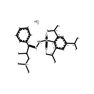 CC(CN(C)C)C(=NNS(=O)(=O)c1c(C(C)C)cc(C(C)C)cc1C(C)C)c1ccccc1.Cl